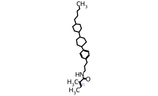 C/C=C(\C)C(=O)NCCCc1ccc(C2CCC(C3CCC(CCCCC)CC3)CC2)cc1